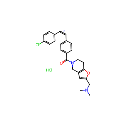 CN(C)Cc1cc2c(o1)CCN(C(=O)c1ccc(/C=C\c3ccc(Cl)cc3)cc1)C2.Cl